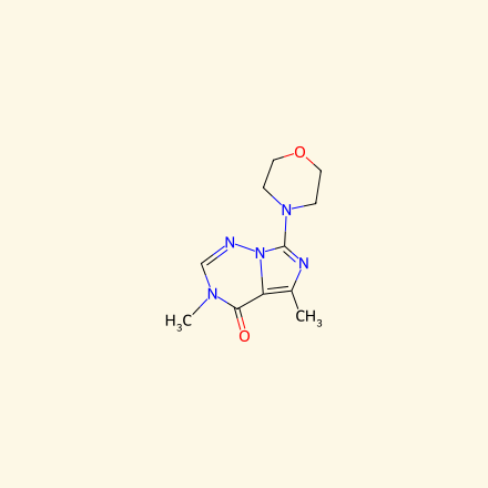 Cc1nc(N2CCOCC2)n2ncn(C)c(=O)c12